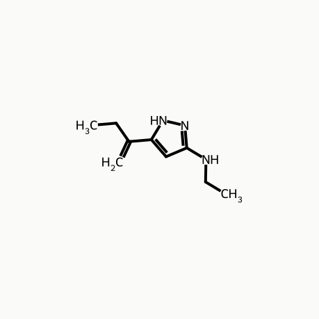 C=C(CC)c1cc(NCC)n[nH]1